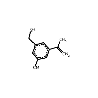 C=C(C)c1cc(C#N)cc(CS)c1